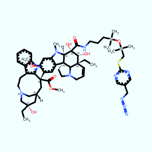 CC[C@]1(O)C[C@@H]2C[N@](CCc3c([nH]c4ccccc34)[C@@](C(=O)OC)(c3cc4c(cc3OC)N(C)[C@H]3[C@@](O)(C(=O)NCCC[Si](C)(C)O[Si](C)(C)CSc5ncc(CN=[N+]=[N-])cn5)[C@H](O)[C@]5(CC)C=CCN6CC[C@]43C65)C2)C1